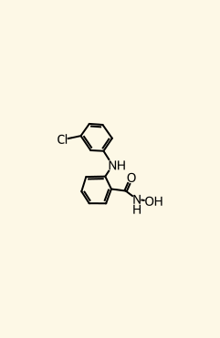 O=C(NO)c1ccccc1Nc1cccc(Cl)c1